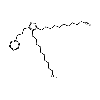 CCCCCCCCCCCc1n(CCCCCCCCCCC)cc[n+]1CCCc1ccccc1